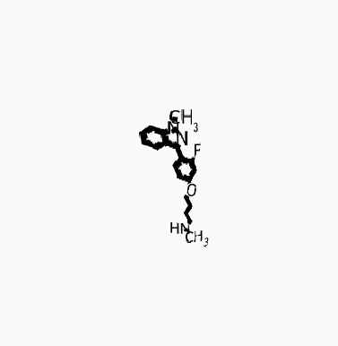 CNCCCCOc1ccc(-c2nn(C)c3ccccc23)c(F)c1